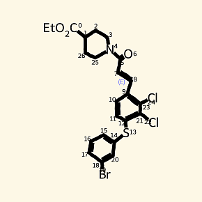 CCOC(=O)C1CCN(C(=O)/C=C/c2ccc(Sc3cccc(Br)c3)c(Cl)c2Cl)CC1